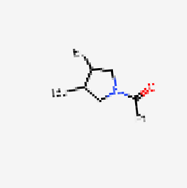 CCC(=O)N1CC(CC)C(C(C)(C)C)C1